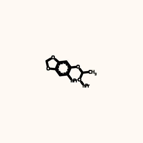 CCCOC(C)Oc1cc2c(cc1CCC)OCO2